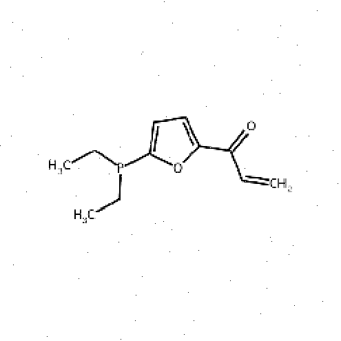 C=CC(=O)c1ccc(P(CC)CC)o1